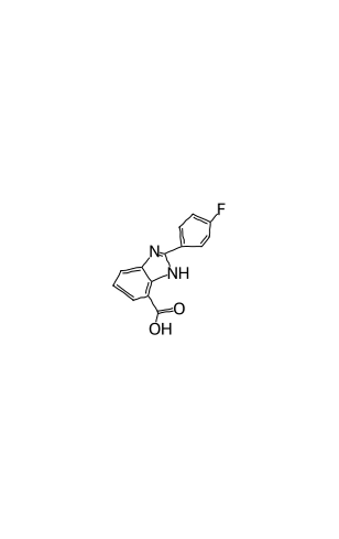 O=C(O)c1cccc2nc(-c3ccc(F)cc3)[nH]c12